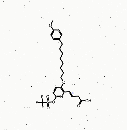 COc1ccc(CCCCCCCCOc2ccc(OS(=O)(=O)C(F)(F)F)nc2/C=C/CC(=O)O)cc1